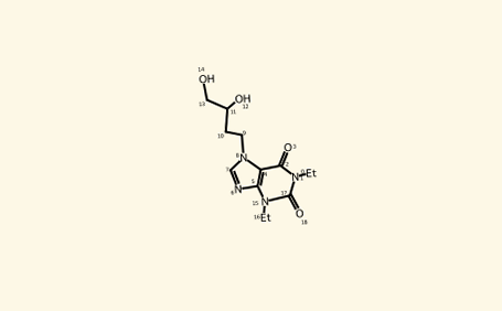 CCn1c(=O)c2c(ncn2CCC(O)CO)n(CC)c1=O